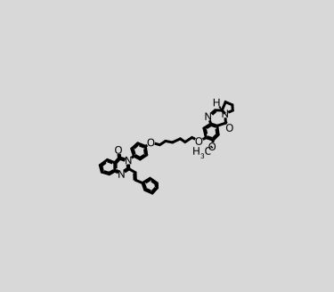 COc1cc2c(cc1OCCCCCCOc1ccc(-n3c(/C=C/c4ccccc4)nc4ccccc4c3=O)cc1)N=C[C@@H]1CCCN1C2=O